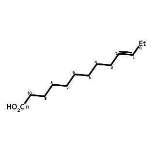 CCC=CCCCCCCCCC(=O)O